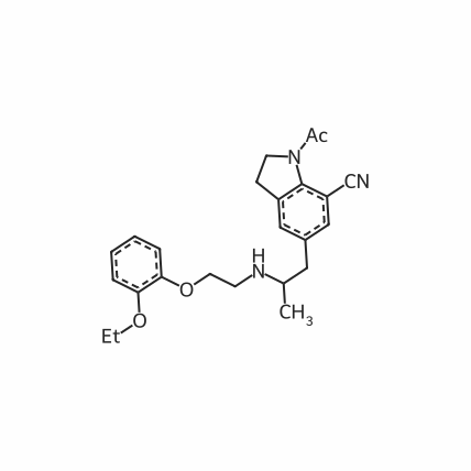 CCOc1ccccc1OCCNC(C)Cc1cc(C#N)c2c(c1)CCN2C(C)=O